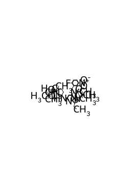 CCc1cnn2c(N(Cc3cc([N+](=O)[O-])ccc3F)C(=O)OC(C)(C)C)cc(NC3CCC(C)(C)N(C(=O)OC(C)(C)C)C3)nc12